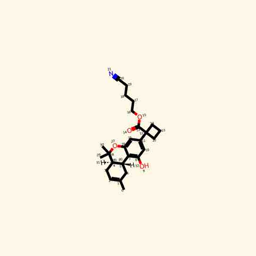 CC1=CC[C@@H]2[C@@H](C1)c1c(O)cc(C3(C(=O)OCCCCC#N)CCC3)cc1OC2(C)C